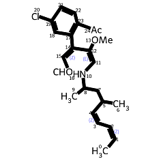 C/C=C\C=C/C(C)CC(C)N/C=C(OC)\C(=C/C=O)c1cc(Cl)ccc1C(C)=O